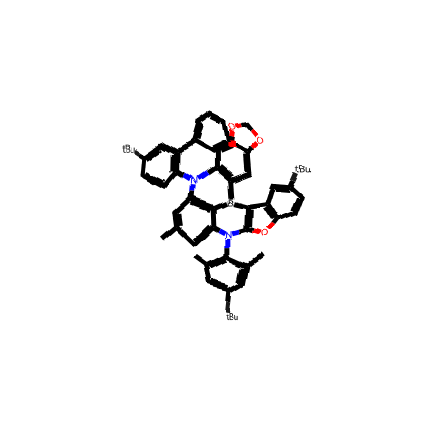 Cc1cc2c3c(c1)N(c1c(C)cc(C(C)(C)C)cc1C)c1oc4ccc(C(C)(C)C)cc4c1B3c1cc3c(cc1N2c1ccc(C(C)(C)C)cc1-c1ccccc1)OCO3